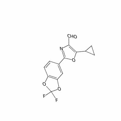 O=Cc1nc(-c2ccc3c(c2)OC(F)(F)O3)oc1C1CC1